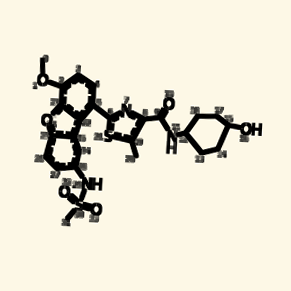 COc1ccc(-c2nc(C(=O)NC3CCC(O)CC3)c(C)s2)c2c1oc1ccc(NS(C)(=O)=O)cc12